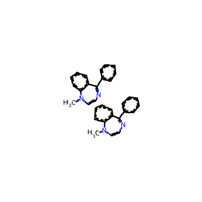 CN1C=CN=C(c2ccccc2)c2ccccc21.CN1C=CN=C(c2ccccc2)c2ccccc21